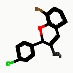 O=[N+]([O-])C1=Cc2cccc(Br)c2OC1c1ccc(Cl)cc1